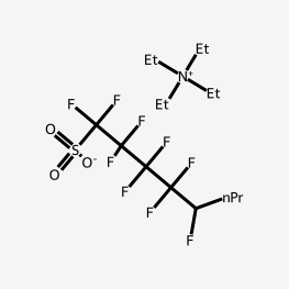 CCCC(F)C(F)(F)C(F)(F)C(F)(F)C(F)(F)S(=O)(=O)[O-].CC[N+](CC)(CC)CC